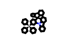 c1ccc([Si](c2ccccc2)(c2ccccc2)c2ccc3c(c2)-n2c4ccccc4c4cccc(c42)C32c3ccccc3-c3ccccc32)cc1